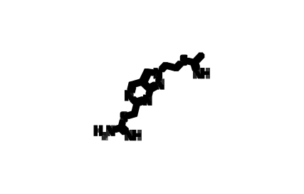 CC(=N)SCCn1cc2cnc(CSC(=N)N)nc2n1